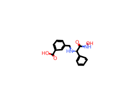 O=C(O)c1cccc(CN[C@@H](C(=O)NO)c2ccccc2)c1